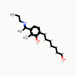 CCC/N=C(\C)c1ccc(CCCCCCCO)c(O)c1C